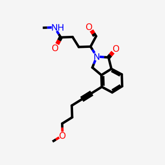 CNC(=O)CCC(C=O)N1Cc2c(C#CCCCOC)cccc2C1=O